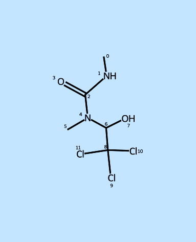 CNC(=O)N(C)C(O)C(Cl)(Cl)Cl